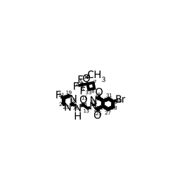 CO[C@]1(C(F)(F)F)C[C@H](Oc2nn(CC(=O)Nc3ncc(F)cn3)c(=O)c3ccc(Br)cc23)C1